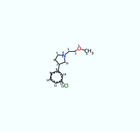 COCCN1CCC(c2cccc(Cl)c2)C1